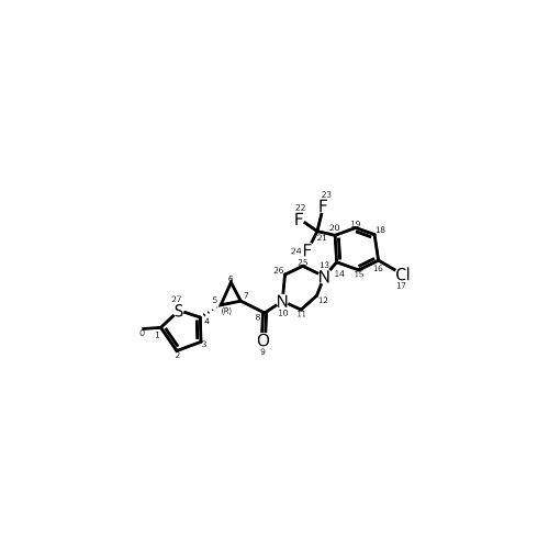 Cc1ccc([C@@H]2CC2C(=O)N2CCN(c3cc(Cl)ccc3C(F)(F)F)CC2)s1